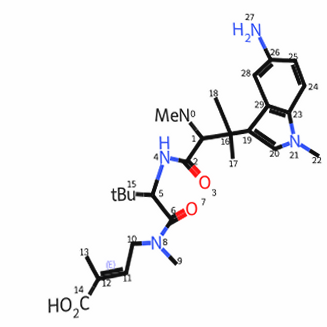 CNC(C(=O)NC(C(=O)N(C)C/C=C(\C)C(=O)O)C(C)(C)C)C(C)(C)c1cn(C)c2ccc(N)cc12